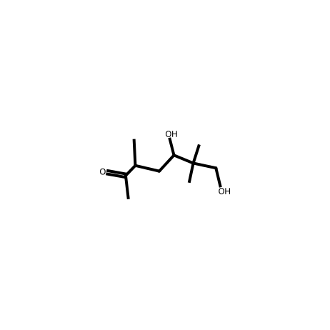 CC(=O)C(C)CC(O)C(C)(C)CO